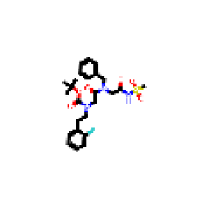 CC(C)(C)OC(=O)N(CCc1ccccc1F)CC(=O)N(CC(=O)NS(C)(=O)=O)Cc1ccccc1